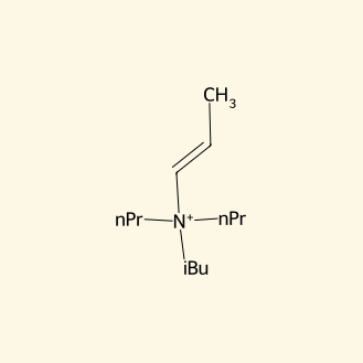 CC=C[N+](CCC)(CCC)C(C)CC